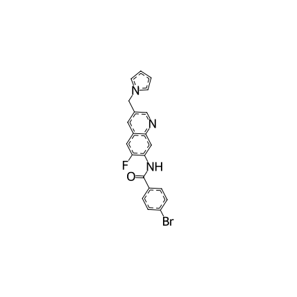 O=C(Nc1cc2ncc(Cn3cccc3)cc2cc1F)c1ccc(Br)cc1